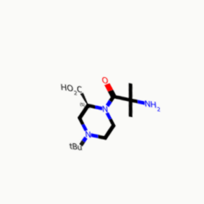 CC(C)(N)C(=O)N1CCN(C(C)(C)C)C[C@H]1C(=O)O